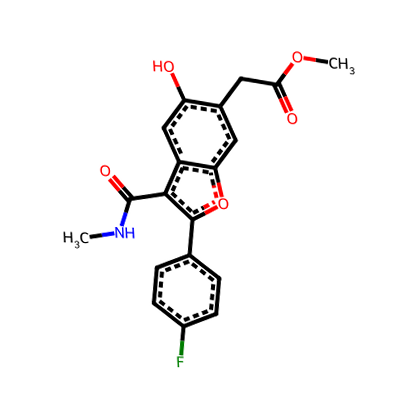 CNC(=O)c1c(-c2ccc(F)cc2)oc2cc(CC(=O)OC)c(O)cc12